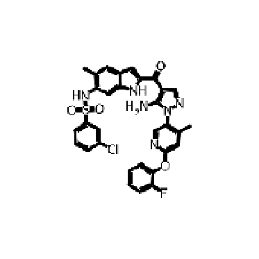 Cc1cc2cc(C(=O)c3cnn(-c4cnc(Oc5ccccc5F)cc4C)c3N)[nH]c2cc1NS(=O)(=O)c1cccc(Cl)c1